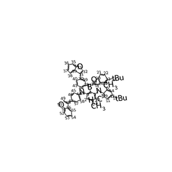 Cc1cc2c3c(c1)N(c1c(C)cc(C(C)(C)C)cc1C)c1c(oc4ccc(C(C)(C)C)cc14)B3c1cc(-c3coc4ccccc34)ccc1N2c1ccc(-c2coc3ccccc23)cc1